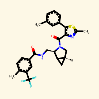 Cc1cccc(-c2sc(C)nc2C(=O)N2C[C@H]3CC3[C@H]2CNC(=O)c2ccc(C)c(C(F)(F)F)c2)c1